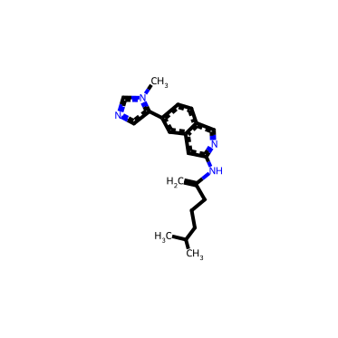 C=C(CCCC(C)C)Nc1cc2cc(-c3cncn3C)ccc2cn1